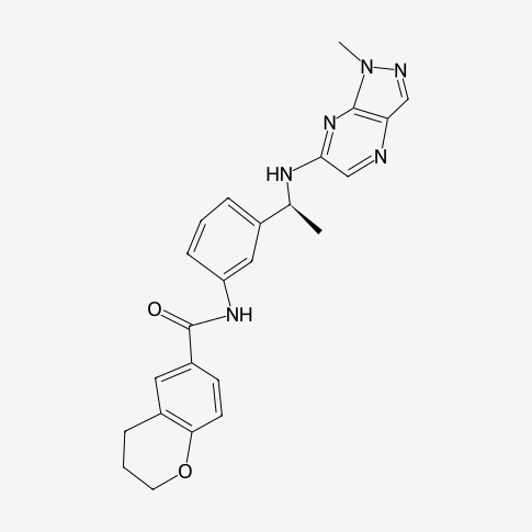 C[C@H](Nc1cnc2cnn(C)c2n1)c1cccc(NC(=O)c2ccc3c(c2)CCCO3)c1